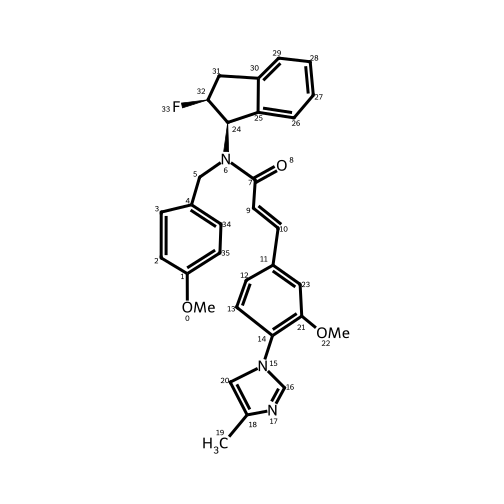 COc1ccc(CN(C(=O)C=Cc2ccc(-n3cnc(C)c3)c(OC)c2)[C@@H]2c3ccccc3C[C@@H]2F)cc1